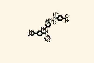 CN1CC(c2ccc3c(N4CCOCC4)nc(-c4ccc(NC(=O)Nc5ccc(C(=O)N(C)C)cc5F)nc4)nc3c2)C=N1